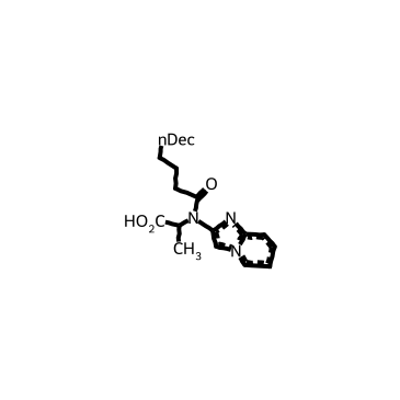 CCCCCCCCCCCCCC(=O)N(c1cn2ccccc2n1)C(C)C(=O)O